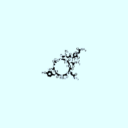 CC[C@H](C)[C@@H]1NC(=O)[C@@H](Cc2ccc(O)cc2)NC(O)CCS(=O)(=O)CC[C@@H](C(=O)N(C)CC(=O)N[C@@](C)(CC(C)C)C(=O)NCC(N)=O)NC(=O)[C@H](CC(N)=O)NC(=O)[C@H](CCC(N)=O)NC1=O